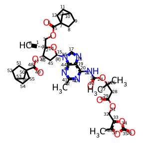 C#C[C@]1(COC(=O)C23CCC(CC2)C3)O[C@@H](n2cnc3c(NC(=O)OC(C)(C)CC(=O)OCc4oc(=O)oc4C)nc(C)nc32)C[C@@H]1OC(=O)C12CCC(CC1)C2